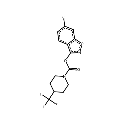 O=C(Oc1noc2cc(Cl)ccc12)N1CCC(C(F)(F)F)CC1